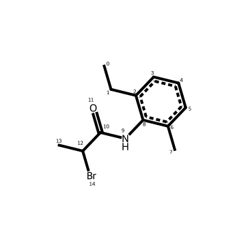 CCc1cccc(C)c1NC(=O)C(C)Br